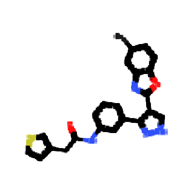 CC(C)(C)c1ccc2oc(-c3c[nH]nc3-c3cccc(NC(=O)Cc4ccsc4)c3)nc2c1